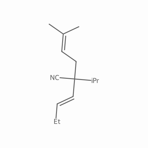 CCC=CC(C#N)(CC=C(C)C)C(C)C